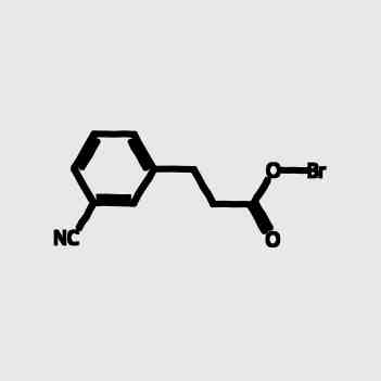 N#Cc1cccc(CCC(=O)OBr)c1